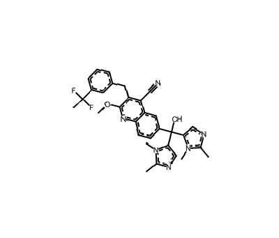 COc1nc2ccc(C(O)(c3cnc(C)n3C)c3cnc(C)n3C)cc2c(C#N)c1Cc1cccc(C(C)(F)F)c1